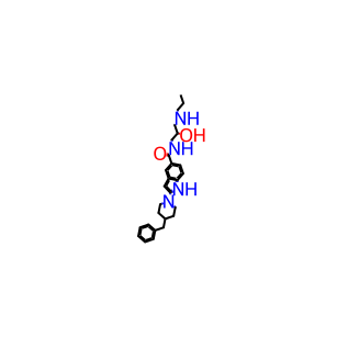 CCCNCC(O)CNC(=O)c1ccc2[nH]c(N3CCC(Cc4ccccc4)CC3)cc2c1